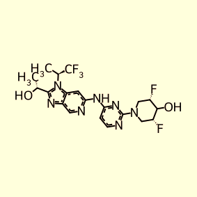 C[C@H](n1c([C@@H](C)O)nc2cnc(Nc3ccnc(N4C[C@@H](F)C(O)[C@@H](F)C4)n3)cc21)C(F)(F)F